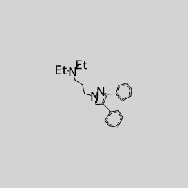 CCN(CC)CCCn1cc(-c2ccccc2)c(-c2ccccc2)n1